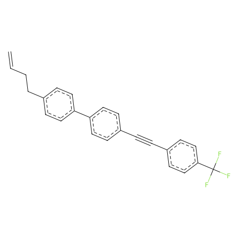 C=CCCc1ccc(-c2ccc(C#Cc3ccc(C(F)(F)F)cc3)cc2)cc1